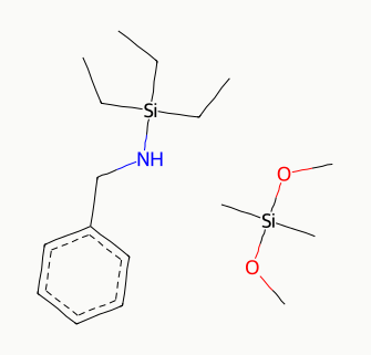 CC[Si](CC)(CC)NCc1ccccc1.CO[Si](C)(C)OC